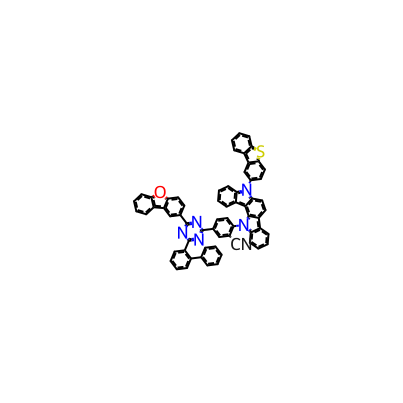 N#Cc1cc(-c2nc(-c3ccc4oc5ccccc5c4c3)nc(-c3ccccc3-c3ccccc3)n2)ccc1-n1c2ccccc2c2ccc3c(c4ccccc4n3-c3ccc4sc5ccccc5c4c3)c21